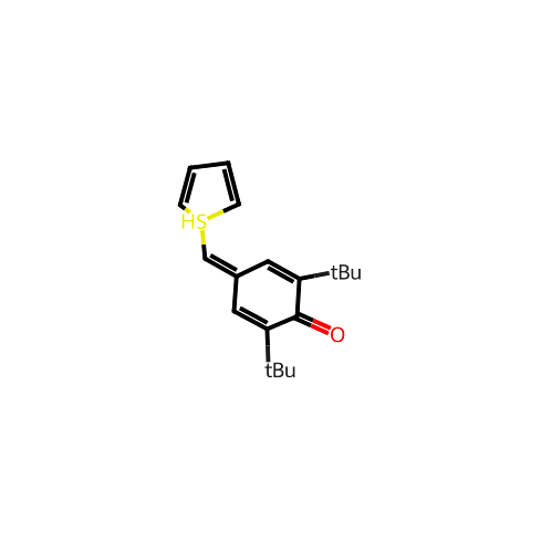 CC(C)(C)C1=CC(=C[SH]2C=CC=C2)C=C(C(C)(C)C)C1=O